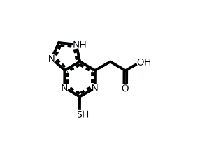 O=C(O)Cc1nc(S)nc2nc[nH]c12